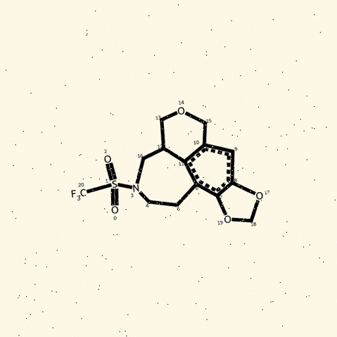 O=S(=O)(N1CCc2c3c(cc4c2C(COC4)C1)OCO3)C(F)(F)F